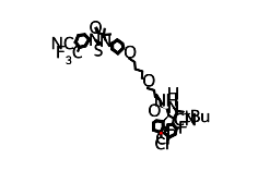 CC(C)(C)CC1N[C@@H](C(=O)NCCCOCCCCCOc2ccc(N3C(=S)N(c4ccc(C#N)c(C(F)(F)F)c4)C(=O)C3(C)C)cc2)[C@H](c2cccc(Cl)c2F)[C@@]1(C#N)c1ccc(Cl)cc1F